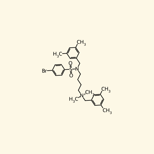 Cc1cc(C)cc(CN(CCCC[N+](C)(C)Cc2cc(C)cc(C)c2)S(=O)(=O)c2ccc(Br)cc2)c1